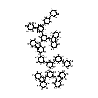 c1ccc(-c2ccc(-c3cc(-c4cc(-n5c6ccccc6c6ccccc65)cc(-n5c6ccccc6c6cc(-c7cccc(-c8nc(-c9cccc(-c%10ccccc%10)c9)cc(-c9cc(-n%10c%11ccccc%11c%11ccccc%11%10)cc(-n%10c%11ccccc%11c%11ccccc%11%10)c9)n8)c7)ccc65)c4)nc(-c4ccccc4)n3)cc2)cc1